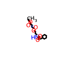 CCOC(=O)/C=C/C(=O)OCCCNS(=O)(=O)CC1CCCCC1